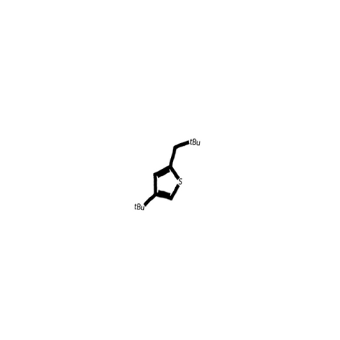 CC(C)(C)Cc1cc(C(C)(C)C)cs1